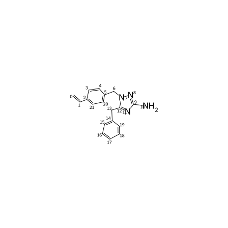 C=Cc1ccc(Cn2nc(N)nc2Cc2ccccc2)cc1